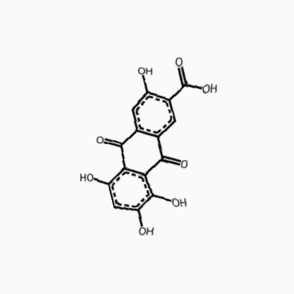 O=C(O)c1cc2c(cc1O)C(=O)c1c(O)cc(O)c(O)c1C2=O